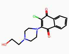 O=C1C(Cl)=C(N2CCN(CCO)CC2)C(=O)c2ccccc21